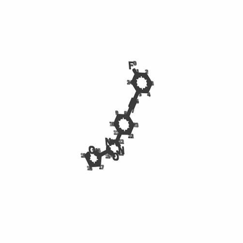 Fc1cccc(C#Cc2ccc(-c3noc(-c4ccco4)n3)cc2)c1